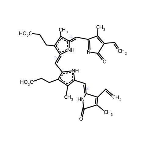 C=CC1=C(C)C(/C=c2\[nH]/c(=C\c3[nH]c(/C=C4\NC(=O)C(C)=C4C=C)c(C)c3CCC(=O)O)c(CCC(=O)O)c2C)=NC1=O